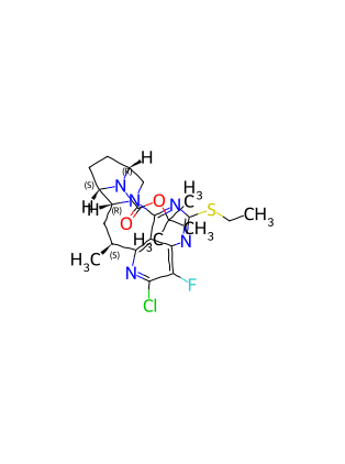 CCSc1nc2c3c(nc(Cl)c(F)c3n1)[C@@H](C)C[C@@H]1[C@@H]3CC[C@H](CN21)N3C(=O)OC(C)(C)C